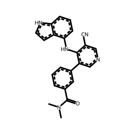 CN(C)C(=O)c1cccc(-c2cncc(C#N)c2Nc2cccc3[nH]ccc23)c1